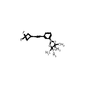 CC1(C)OB(c2cccc(C#CC3CC(F)(F)C3)c2)OC1(C)C